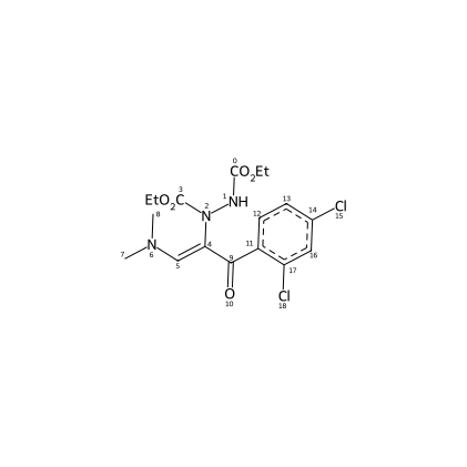 CCOC(=O)NN(C(=O)OCC)C(=CN(C)C)C(=O)c1ccc(Cl)cc1Cl